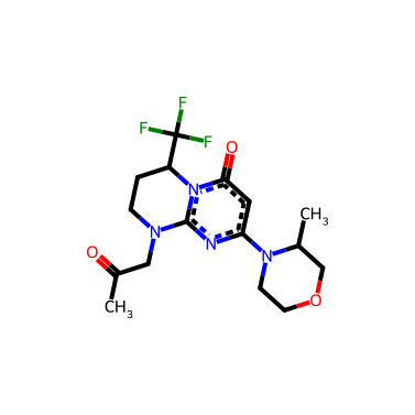 CC(=O)CN1CCC(C(F)(F)F)n2c1nc(N1CCOCC1C)cc2=O